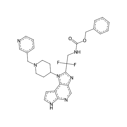 O=C(NCC(F)(F)c1nc2cnc3[nH]ccc3c2n1C1CCN(Cc2cccnc2)CC1)OCc1ccccc1